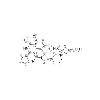 Cc1ccc(C(C)Nc2nc(N3CC(C4CCCN(C5(C)CC(C(=O)O)C5)C4)C3)nc3ccsc23)c(Cl)c1